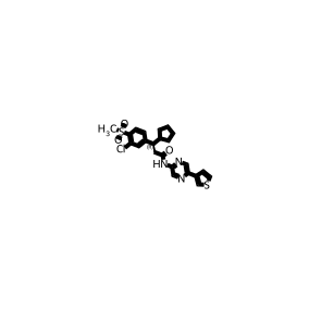 CS(=O)(=O)c1ccc([C@H](CC(=O)Nc2cnc(-c3ccsc3)cn2)C2CCCC2)cc1Cl